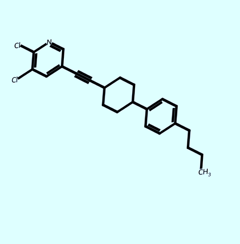 CCCCc1ccc(C2CCC(C#Cc3cnc(Cl)c(Cl)c3)CC2)cc1